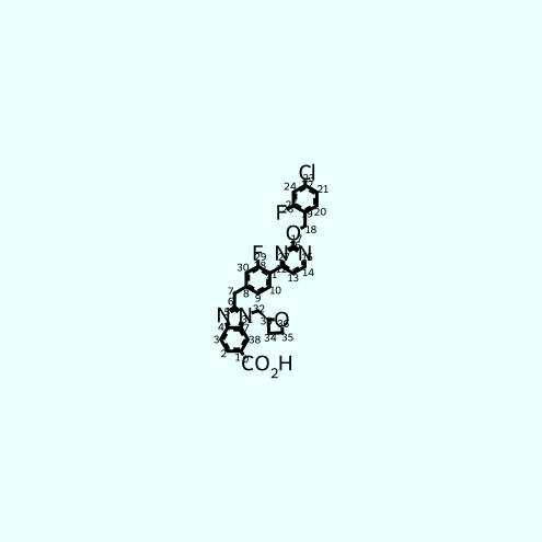 O=C(O)c1ccc2nc(Cc3ccc(-c4ccnc(OCc5ccc(Cl)cc5F)n4)c(F)c3)n(C[C@@H]3CCO3)c2c1